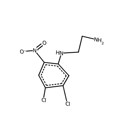 NCCNc1cc(Cl)c(Cl)cc1[N+](=O)[O-]